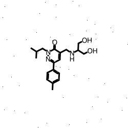 Cc1ccc(-c2cc(CNC(CO)CO)c(=O)n(CC(C)C)n2)cc1